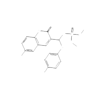 CCOP(=O)(OCC)OC(Nc1ccc(F)cc1)c1cc2cc(C)ccc2[nH]c1=O